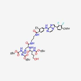 CCc1cc(Nc2nccn3c(-c4ccc(OC)c(F)c4F)cnc23)ccc1C(=O)NCCCNC(=O)C(CN/C(=N\C(=O)OC(C)(C)C)NC(=O)OC(C)(C)C)NC(=O)C(CCCO)NC(=O)OC(C)(C)C